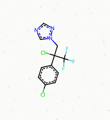 FC(F)(F)C(Cl)(Cn1cncn1)c1ccc(Cl)cc1